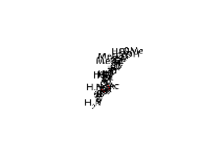 COc1c(OC2O[C@@H](C)C(O)[C@@H](OC)[C@H]2O)c(C)c(C)c(C(=O)S[C@H]2CCC(ON[C@H]3C(O)CC(O[C@H]4C#C/C=C\C#C/C(N)=C4\C(=C/CSSC(C)(C)CCN)C(C)CC(C)=O)OC3C)OC2C)c1OC